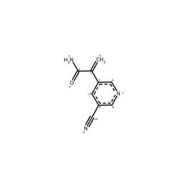 C=C(C(N)=O)c1cncc(C#N)c1